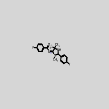 CN1/C(=N/C(=O)c2ccc(F)cc2)C(C(F)(F)F)(C(F)(F)F)NC1c1ccc(F)cc1